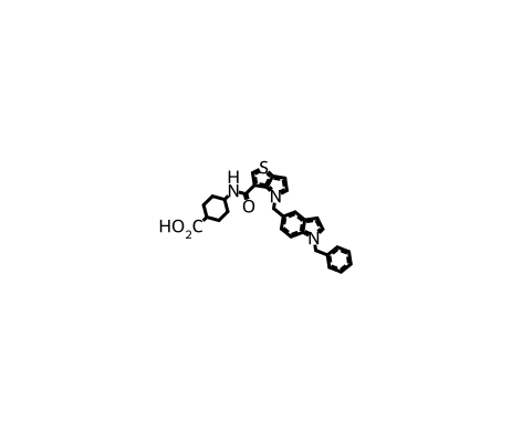 O=C(NC1CCC(C(=O)O)CC1)c1csc2ccn(Cc3ccc4c(ccn4Cc4ccccc4)c3)c12